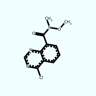 CON(C)C(=O)c1cccc2c(Cl)ncnc12